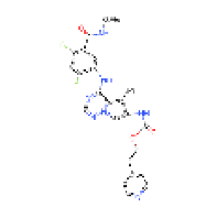 CONC(=O)c1cc(Nc2ncnn3cc(NC(=O)OCCc4ccncc4)c(C(C)C)c23)c(F)cc1F